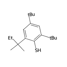 CCC(C)(C)c1cc(C(C)(C)C)cc(C(C)(C)C)c1S